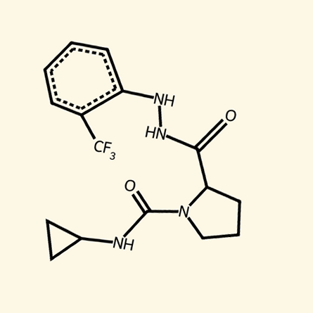 O=C(NNc1ccccc1C(F)(F)F)C1CCCN1C(=O)NC1CC1